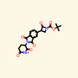 CC(C)(C)OC(=O)N1CC(c2ccc3c(c2)C(=O)N(C2CCC(=O)NC2=O)C3=O)C1=O